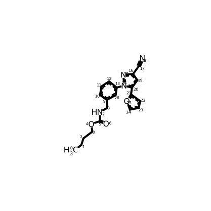 CCCCOC(=O)NCc1cccc(-n2nc(C#N)cc2-c2ccco2)c1